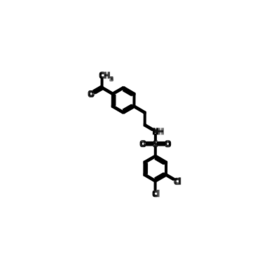 CC(=O)c1ccc(CCNS(=O)(=O)c2ccc(Cl)c(Cl)c2)cc1